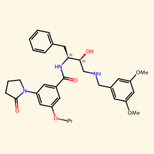 COc1cc(CNC[C@H](O)[C@H](Cc2ccccc2)NC(=O)c2cc(OC(C)C)cc(N3CCCC3=O)c2)cc(OC)c1